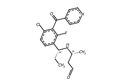 CC[C@@H](N[C@H](C)CC=O)c1ccc(Cl)c(C(=O)c2ccncc2)c1F